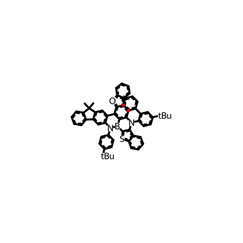 CC(C)(C)c1ccc(N2B3c4sc5ccccc5c4N(c4ccc(C(C)(C)C)cc4-c4ccccc4)c4cc5c(oc6ccccc65)c(c43)-c3cc4c(cc32)-c2ccccc2C4(C)C)cc1